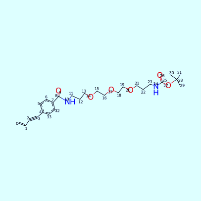 C=CC#Cc1ccc(C(=O)NCCCOCCOCCOCCCNC(=O)OC(C)(C)C)cc1